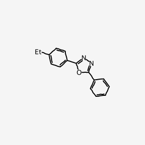 CCc1ccc(-c2nnc(-c3ccccc3)o2)cc1